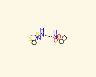 O=S(=O)(NCCCCCNc1nc2c(s1)CCSc1ccccc1-2)c1cccc2ccccc12